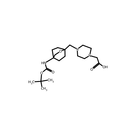 CC(C)(C)OC(=O)NC12CCC(CN3CCN(CC(=O)O)CC3)(CC1)OC2